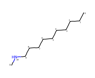 [CH2]CCCCCCCCCNC